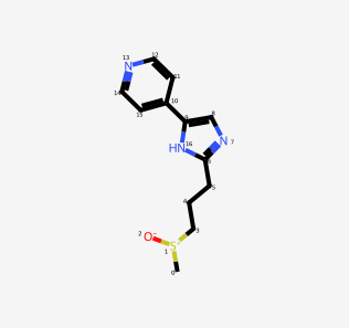 C[S+]([O-])CCCc1ncc(-c2ccncc2)[nH]1